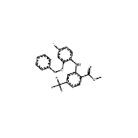 COC(=O)c1ccc(C(F)(F)F)cc1Nc1ccc(F)cc1OCc1ccccc1